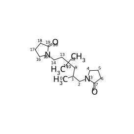 CC(CN1CCCC1=O)CC(C)(C)CCN1CCCC1=O